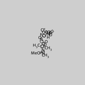 COC[C@H]1CN(c2cc(C)c3c4c(c(=O)oc3c2C)CN(C(=O)c2ccc(C(=O)NS(=O)(=O)N3CCCC3)c(OCC(F)(F)F)c2F)CC4)CCN1C